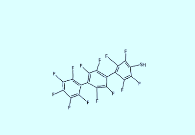 Fc1c(F)c(F)c(-c2c(F)c(F)c(-c3c(F)c(F)c(S)c(F)c3F)c(F)c2F)c(F)c1F